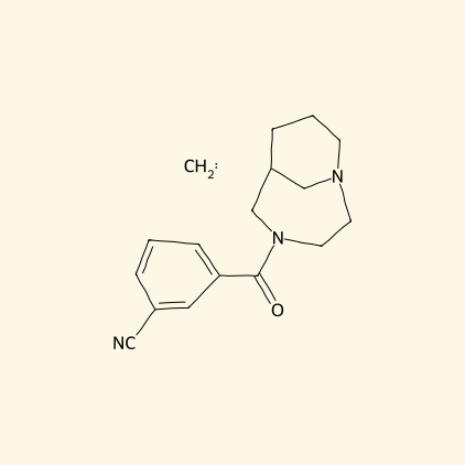 N#Cc1cccc(C(=O)N2CCN3CCCC(C3)C2)c1.[CH2]